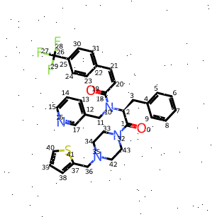 O=C([C@H](Cc1ccccc1)N(Cc1cccnc1)C(=O)/C=C\c1ccc(C(F)(F)F)cc1)N1CCN(Cc2cccs2)CC1